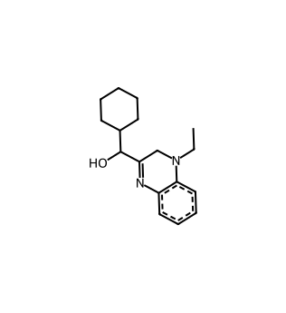 CCN1CC(C(O)C2CCCCC2)=Nc2ccccc21